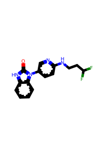 O=c1[nH]c2ccccc2n1-c1ccc(NCCC(F)F)nc1